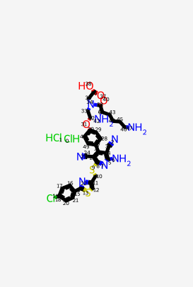 Cl.Cl.N#Cc1c(N)nc(SCc2csc(-c3ccc(Cl)cc3)n2)c(C#N)c1-c1ccc(OCCN(CC(=O)O)C(=O)[C@@H](N)CCCCN)cc1